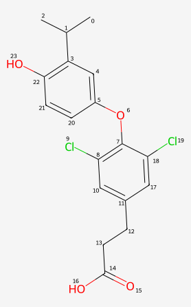 CC(C)c1cc(Oc2c(Cl)cc(CCC(=O)O)cc2Cl)ccc1O